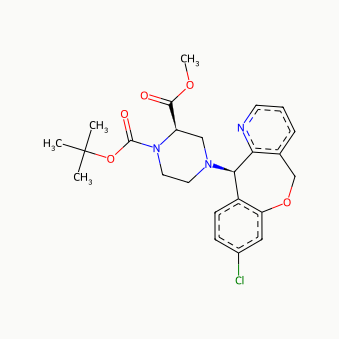 COC(=O)[C@H]1CN([C@@H]2c3ccc(Cl)cc3OCc3cccnc32)CCN1C(=O)OC(C)(C)C